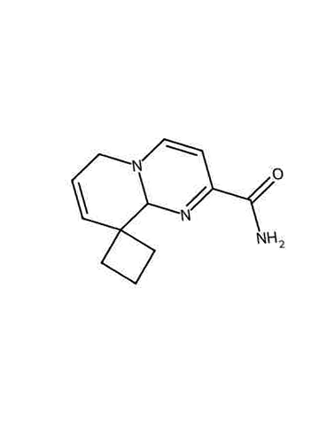 NC(=O)C1=NC2N(C=C1)CC=CC21CCC1